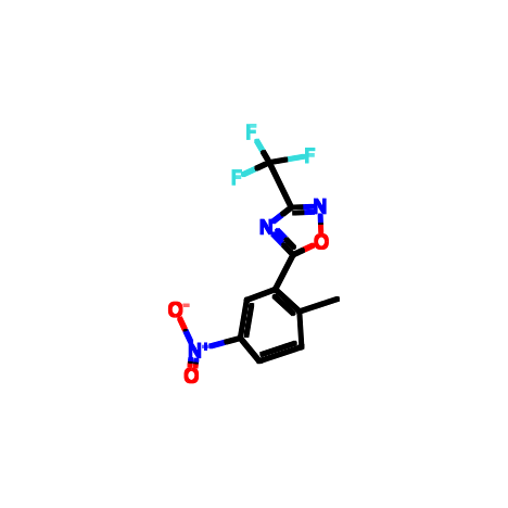 Cc1ccc([N+](=O)[O-])cc1-c1nc(C(F)(F)F)no1